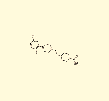 NC(=O)C1CCC(CCN2CCN(c3cc(C(F)(F)F)ccc3F)CC2)CC1